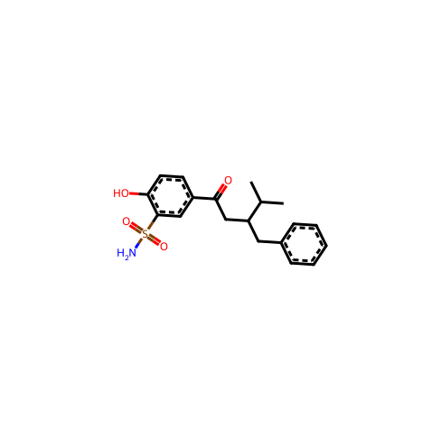 CC(C)C(CC(=O)c1ccc(O)c(S(N)(=O)=O)c1)Cc1ccccc1